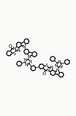 O=c1c2ccccc2sc2nc3c4c(ccc3n12)c1ccccc1n4-c1ccc2c(c1)c1ccccc1n2-c1nc(-c2ccccc2)nc(-c2cccc(-c3ccc4sc5nc6c7c(ccc6n5c(=O)c4c3)c3ccccc3n7-c3nc(-c4ccccc4)nc(-c4ccccc4)n3)c2)n1